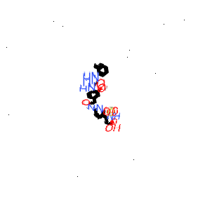 COc1cc(CC(=O)N(C)c2ccc(C(CC(=O)O)NS(C)(=O)=O)cn2)ccc1NC(=O)Nc1ccccc1C